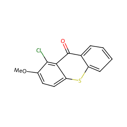 COc1ccc2sc3ccccc3c(=O)c2c1Cl